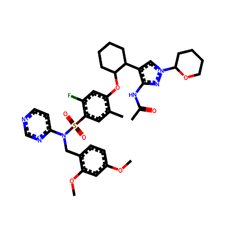 COc1ccc(CN(c2ccncn2)S(=O)(=O)c2cc(C)c(OC3CCCCC3c3cn(C4CCCCO4)nc3NC(C)=O)cc2F)c(OC)c1